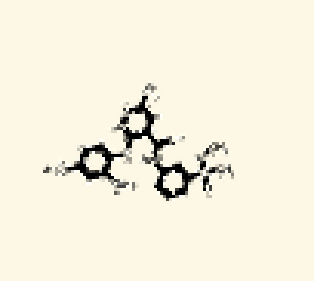 CN=S(C)(=O)c1cccc(NC(=O)c2cc(C(F)(F)F)nnc2Oc2ccc(OC)cc2OC)c1